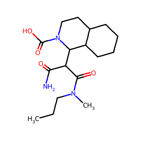 CCCN(C)C(=O)C(C(N)=O)C1C2CCCCC2CCN1C(=O)O